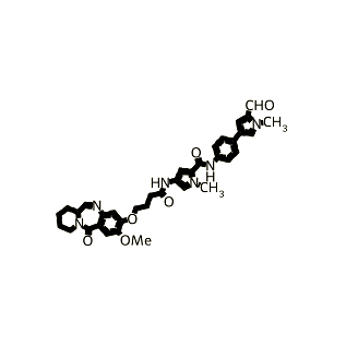 COc1cc2c(cc1OCCCC(=O)Nc1cc(C(=O)Nc3ccc(-c4cc(C=O)n(C)c4)cc3)n(C)c1)N=CC1CCCCN1C2=O